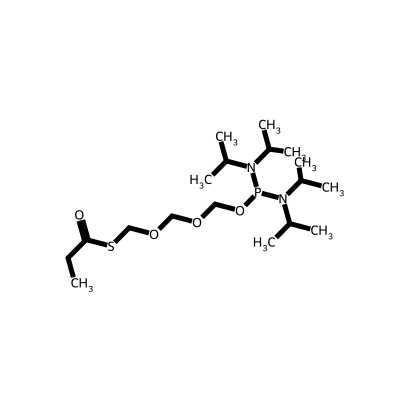 CCC(=O)SCOCOCOP(N(C(C)C)C(C)C)N(C(C)C)C(C)C